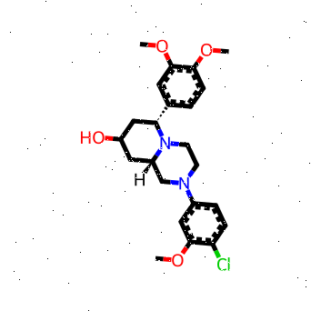 COc1cc(N2CCN3[C@@H](CC(O)C[C@@H]3c3ccc(OC)c(OC)c3)C2)ccc1Cl